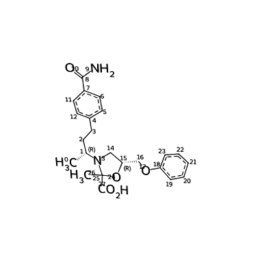 C[C@H](CCc1ccc(C(N)=O)cc1)N1C[C@H](COc2ccccc2)OC1(C)C(=O)O